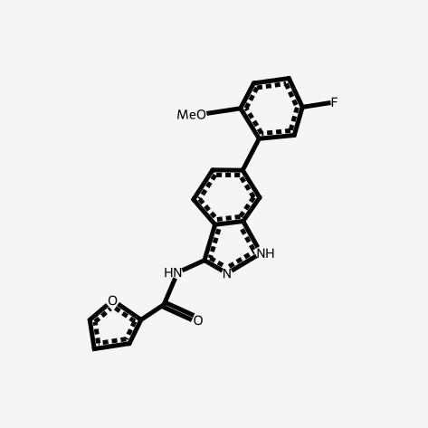 COc1ccc(F)cc1-c1ccc2c(NC(=O)c3ccco3)n[nH]c2c1